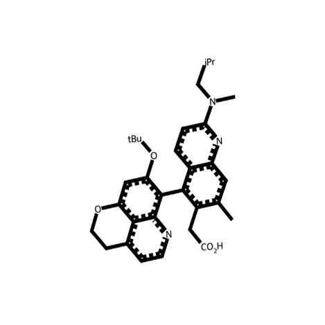 Cc1cc2nc(N(C)CC(C)C)ccc2c(-c2c(OC(C)(C)C)cc3c4c(ccnc24)CCO3)c1CC(=O)O